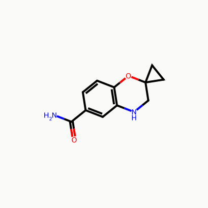 NC(=O)c1ccc2c(c1)NCC1(CC1)O2